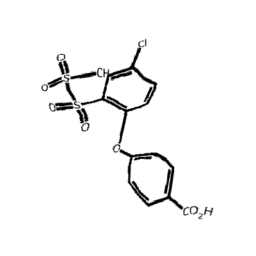 CS(=O)(=O)S(=O)(=O)c1cc(Cl)ccc1Oc1ccc(C(=O)O)cc1